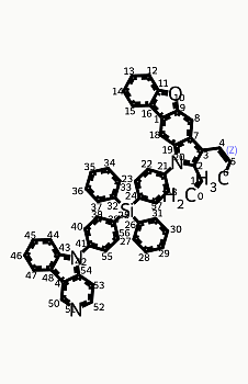 C=Cc1c(/C=C\C)c2cc3oc4ccccc4c3cc2n1-c1ccc([Si](c2ccccc2)(c2ccccc2)c2ccc(-n3c4ccccc4c4cnccc43)cc2)cc1